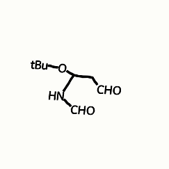 CC(C)(C)OC(CC=O)NC=O